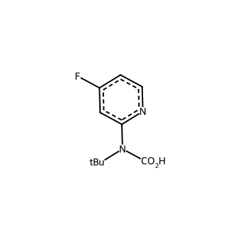 CC(C)(C)N(C(=O)O)c1cc(F)ccn1